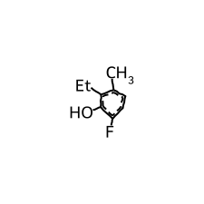 CCc1c(C)ccc(F)c1O